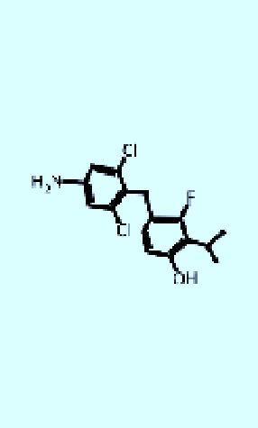 CC(C)c1c(O)ccc(Cc2c(Cl)cc(N)cc2Cl)c1F